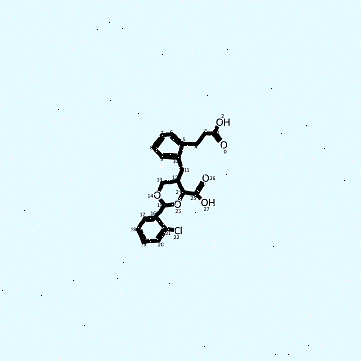 O=C(O)CCc1ccccc1CC1COC(c2ccccc2Cl)OC1C(=O)O